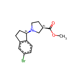 COC(=O)[C@@H]1CCN([C@@H]2CCc3cc(Br)ccc32)C1